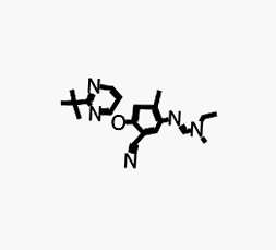 CCN(C)C=Nc1cc(C#N)c(Oc2ccnc(C(C)(C)C)n2)cc1C